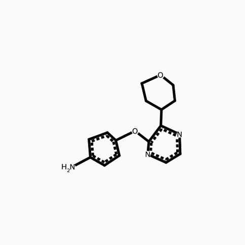 Nc1ccc(Oc2nccnc2C2CCOCC2)cc1